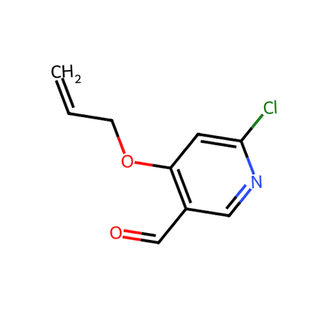 C=CCOc1cc(Cl)ncc1C=O